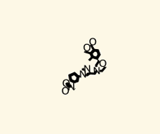 Cc1c([C@@H]2CN(Cc3cn(-c4ccc5oc(=O)n(C)c5c4)cn3)CCO2)ccc2c1COC2=O